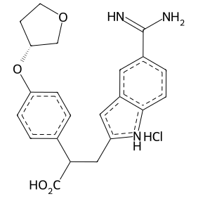 Cl.N=C(N)c1ccc2[nH]c(CC(C(=O)O)c3ccc(O[C@@H]4CCOC4)cc3)cc2c1